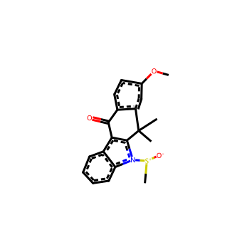 COc1ccc2c(c1)C(C)(C)c1c(c3ccccc3n1[S+](C)[O-])C2=O